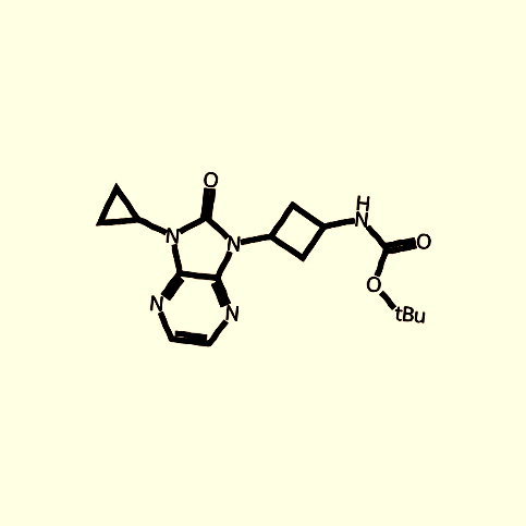 CC(C)(C)OC(=O)NC1CC(n2c(=O)n(C3CC3)c3nccnc32)C1